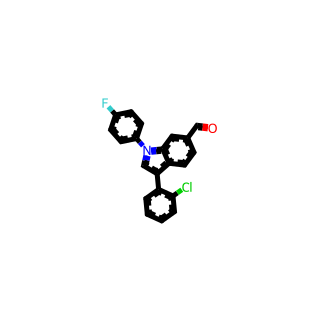 O=Cc1ccc2c(-c3ccccc3Cl)cn(-c3ccc(F)cc3)c2c1